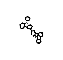 C=c1/c(=C\C(=C/C)c2ccc3c(c2)c2ccccc2n3-c2ccccc2)c2cccc3c4ccccc4n1c23